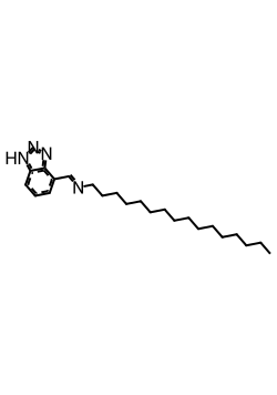 CCCCCCCCCCCCCCCCN=Cc1cccc2[nH]nnc12